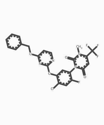 Cn1c(C(F)(F)F)cc(=O)n(-c2cc(Oc3nccc(OCc4ccccc4)n3)c(Cl)cc2F)c1=O